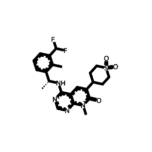 Cc1c(C(F)F)cccc1[C@@H](C)Nc1ncnc2c1cc(C1CCS(=O)(=O)CC1)c(=O)n2C